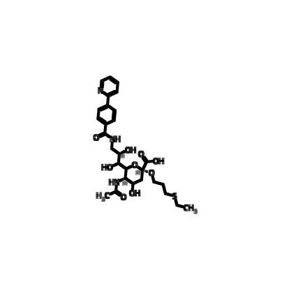 CCSCCCO[C@]1(C(=O)O)CC(O)[C@@H](NC(C)=O)C(C(O)[C@H](O)CNC(=O)c2ccc(-c3ccccn3)cc2)O1